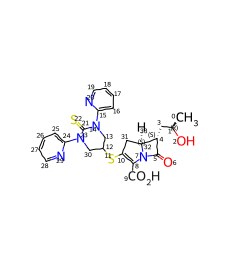 C[C@@H](O)C[C@@H]1C(=O)N2C(C(=O)O)=C(SC3CN(c4ccccn4)C(=S)N(c4ccccn4)C3)C[C@@H]12